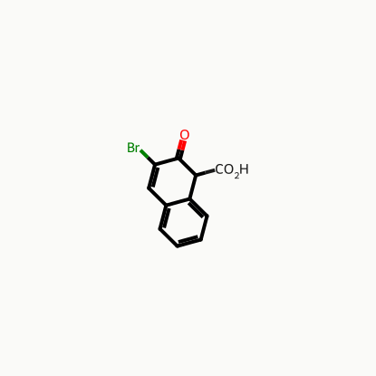 O=C(O)C1C(=O)C(Br)=Cc2ccccc21